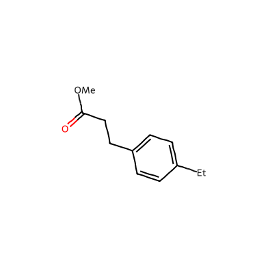 CCc1ccc(CCC(=O)OC)cc1